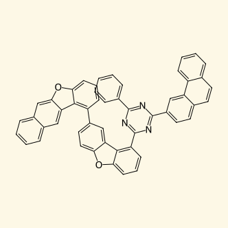 c1ccc(-c2nc(-c3ccc4ccc5ccccc5c4c3)nc(-c3cccc4oc5ccc(-c6cccc7oc8cc9ccccc9cc8c67)cc5c34)n2)cc1